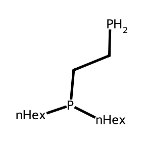 CCCCCCP(CCP)CCCCCC